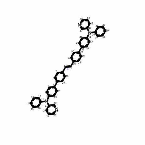 C(=C\c1ccc(-c2ccc(N(c3ccccc3)c3cccnc3)cc2)cc1)/c1ccc(-c2ccc(N(c3ccccc3)c3cccnc3)cc2)cc1